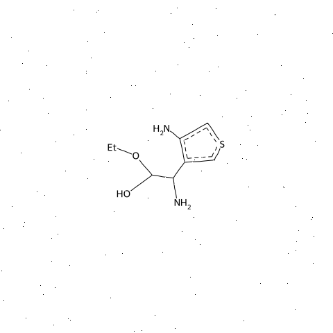 CCOC(O)C(N)c1cscc1N